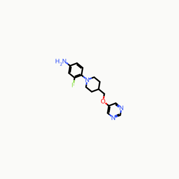 Nc1ccc(N2CCC(COc3cncnc3)CC2)c(F)c1